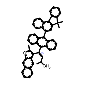 BC(C)/C=C(\c1c(C)oc2cc3ccccc3cc12)c1c2ccccc2c(-c2cc3c(c4ccccc24)-c2ccccc2C3(C)C)c2ccccc12